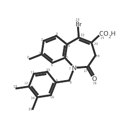 Cc1ccc2c(c1)N(Cc1ccc(C)c(C)c1)C(=O)CC(C(=O)O)=C2Br